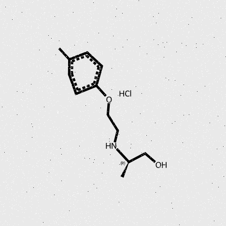 Cc1ccc(OCCN[C@H](C)CO)cc1.Cl